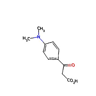 CN(C)c1ccc(C(=O)CC(=O)O)cc1